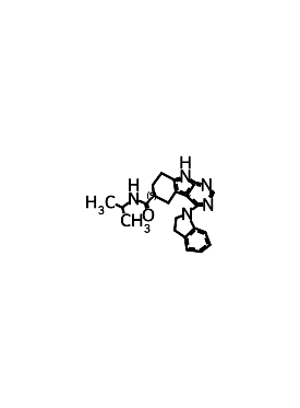 CC(C)NC(=O)[C@H]1CCc2[nH]c3ncnc(N4CCc5ccccc54)c3c2C1